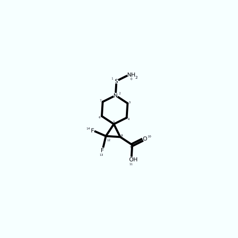 NSN1CCC2(CC1)C(C(=O)O)C2(F)F